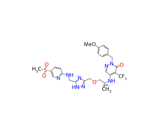 COc1ccc(Cn2ncc(N[C@@H](C)COCc3n[nH]c(CNc4ccc(S(C)(=O)=O)cn4)n3)c(C(F)(F)F)c2=O)cc1